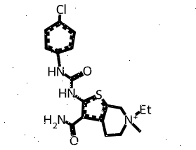 CC[N+]1(C)CCc2c(sc(NC(=O)Nc3ccc(Cl)cc3)c2C(N)=O)C1